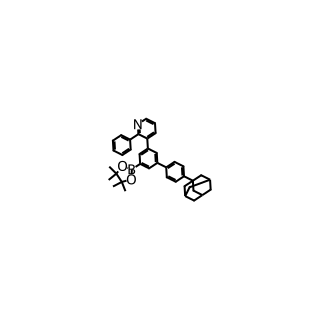 CC1(C)OB(c2cc(-c3ccc(C45CC6CC(CC(C6)C4)C5)cc3)cc(-c3cccnc3-c3ccccc3)c2)OC1(C)C